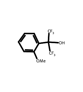 COc1ccccc1C(O)(C(F)(F)F)C(F)(F)F